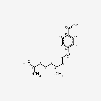 CC(C)CCCC(C)CCOc1ccc([C]=O)cc1